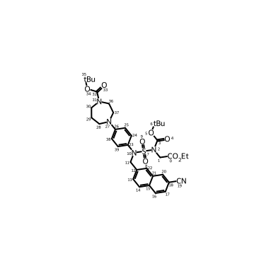 CCOC(=O)CN(C(=O)OC(C)(C)C)S(=O)(=O)N(Cc1ccc2ccc(C#N)cc2c1)c1ccc(N2CCCN(C(=O)OC(C)(C)C)CC2)cc1